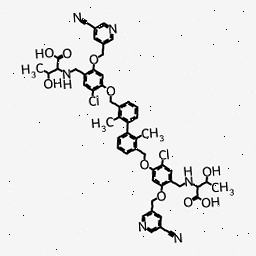 Cc1c(COc2cc(OCc3cncc(C#N)c3)c(CNC(C(=O)O)C(C)O)cc2Cl)cccc1-c1cccc(COc2cc(OCc3cncc(C#N)c3)c(CNC(C(=O)O)C(C)O)cc2Cl)c1C